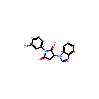 O=C1C[C@H](n2cnc3ccccc32)C(=O)N1c1cccc(Cl)c1